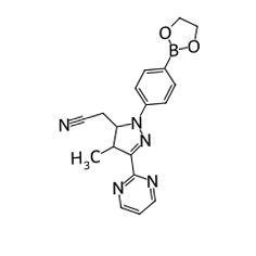 CC1C(c2ncccn2)=NN(c2ccc(B3OCCO3)cc2)C1CC#N